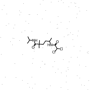 CC(C)NC(=O)C(C)(C)CCC(C)NC(=O)C(Cl)Cl